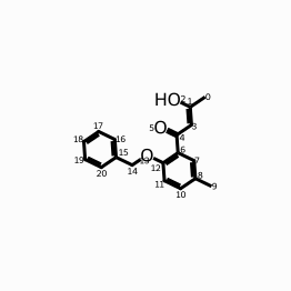 C/C(O)=C/C(=O)c1cc(C)ccc1OCc1ccccc1